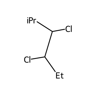 CCC(Cl)C(Cl)C(C)C